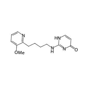 COc1cccnc1CCCCNc1nc(=O)cc[nH]1